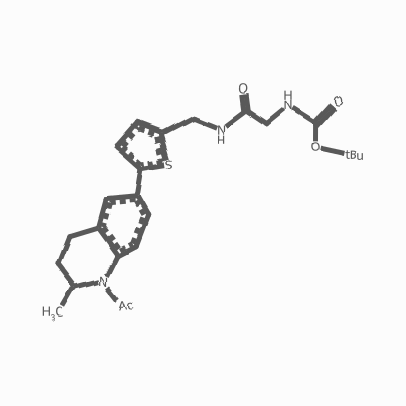 CC(=O)N1c2ccc(-c3ccc(CNC(=O)CNC(=O)OC(C)(C)C)s3)cc2CCC1C